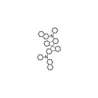 c1ccc(N(c2ccc3c(c2)-c2ccccc2C32c3ccccc3-c3c(N(c4ccccc4)c4ccc5ccccc5c4)cccc32)c2ccc3ccccc3c2)cc1